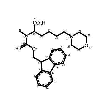 CN(C(=O)OCC1c2ccccc2-c2ccccc21)C(CCCCN1CCOCC1)C(=O)O